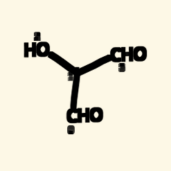 O=C[C](O)C=O